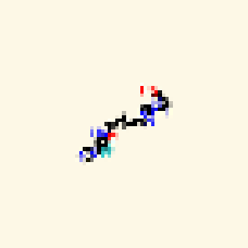 C=C(C#Cc1cnc2c(Nc3cccc(C(C)(C)O)n3)cccn12)/C(C)=C\C=C(/C)C(=O)Nc1ccc(CN2CCN(C)CC2)c(C(F)(F)F)c1